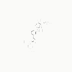 COc1nc(Nc2cc(C)cc(-c3cnc([C@]4(O)CC[C@H](O)CC4)s3)c2)ncc1C(F)(F)F